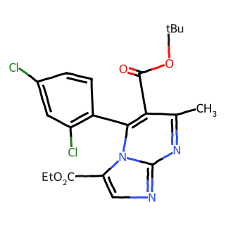 CCOC(=O)c1cnc2nc(C)c(C(=O)OC(C)(C)C)c(-c3ccc(Cl)cc3Cl)n12